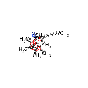 CCCCCCCCCCCCCC[C@@H](OCCCC)[C@@H](C)[C@H](CO[C@H]1OC(COCCCC)[C@H](OCCCC)[C@H](OCCCC)C1OCCCC)N=[N+]=[N-]